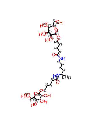 O=CC(CCCCNC(=O)CCCCOC1OC(CO)C(O)C(O)C1O)NC(=O)CCCCOC1OC(CO)C(O)C(O)C1O